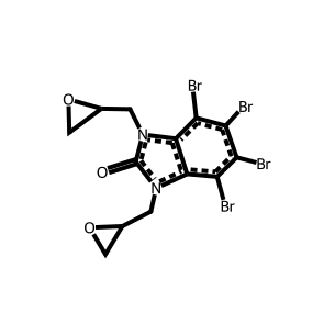 O=c1n(CC2CO2)c2c(Br)c(Br)c(Br)c(Br)c2n1CC1CO1